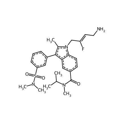 Cc1c(-c2cccc(S(=O)(=O)N(C)C)c2)c2cc(C(=O)N(C)C(C)C)ccc2n1CC(F)=CCN